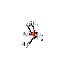 CCCCCCCCCC(CC)OP(OC(CC)CCCCCCCCC)OC(CC)CCCCCCCCC